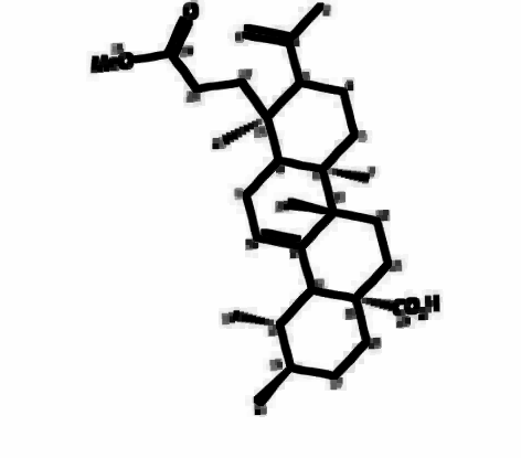 C=C(C)C1CC[C@]2(C)C(CC=C3C4[C@@H](C)[C@H](C)CC[C@]4(C(=O)O)CC[C@]32C)[C@@]1(C)CCC(=O)OC